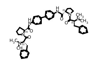 CN(C)[C@@H](Cc1ccccc1)C(=O)N1CCC[C@H]1C(=O)Nc1ccc(-c2ccc(NC(=O)[C@@H]3CCCN3C(=O)[C@H](Cc3ccccc3)N(C)C)cc2)cc1